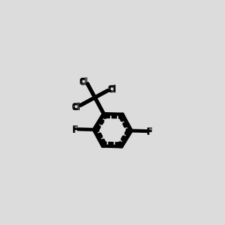 Fc1ccc(F)c(C(Cl)(Cl)Cl)c1